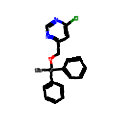 CC(C)(C)[Si](OCc1cc(Cl)ncn1)(c1ccccc1)c1ccccc1